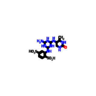 C=C1NC(=O)NCC1NC1NC(N)NC(Nc2cc(S(=O)(=O)O)ccc2S(=O)(=O)O)N1